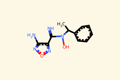 CC(c1ccccc1)N(O)C(=N)c1nonc1N